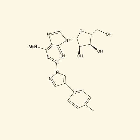 CNc1nc(-n2cc(-c3ccc(C)cc3)cn2)nc2c1ncn2[C@@H]1O[C@H](CO)[C@@H](O)[C@H]1O